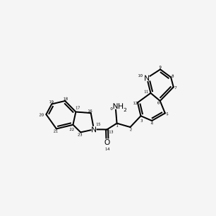 NC(Cc1ccc2cccnc2c1)C(=O)N1Cc2ccccc2C1